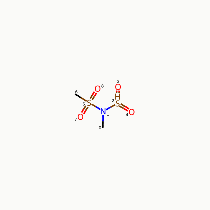 CN([SH](=O)=O)S(C)(=O)=O